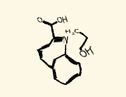 CCO.O=C(O)c1ccc2ccccc2n1